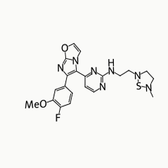 COc1cc(-c2nc3occn3c2-c2ccnc(NCCN3CCN(C)S3)n2)ccc1F